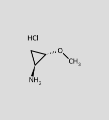 CO[C@H]1C[C@@H]1N.Cl